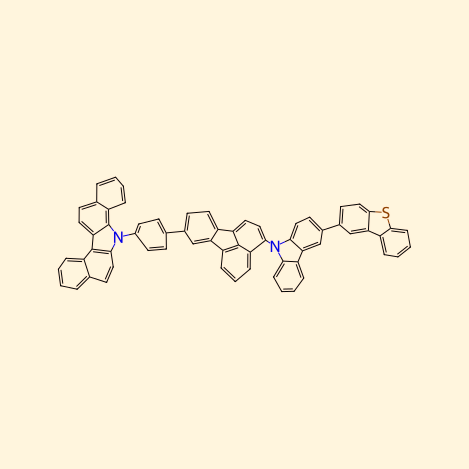 c1ccc2c(c1)ccc1c2c2ccc3ccccc3c2n1-c1ccc(-c2ccc3c(c2)-c2cccc4c(-n5c6ccccc6c6cc(-c7ccc8sc9ccccc9c8c7)ccc65)ccc-3c24)cc1